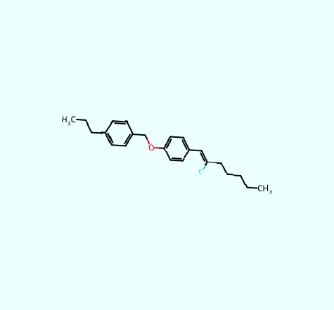 CCCCCC(F)=Cc1ccc(OCc2ccc(CCC)cc2)cc1